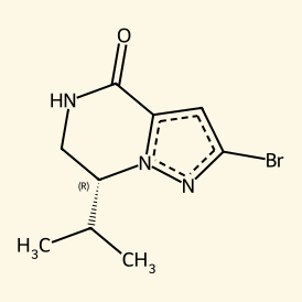 CC(C)[C@@H]1CNC(=O)c2cc(Br)nn21